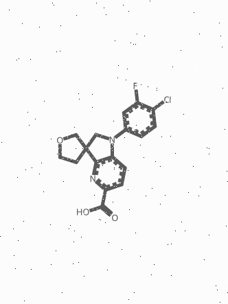 O=C(O)c1ccc2c(n1)C1(CCOC1)CN2c1ccc(Cl)c(F)c1